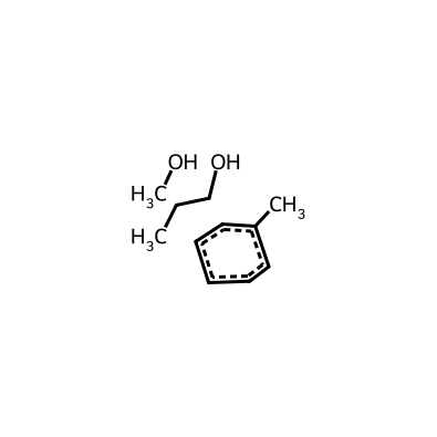 CCCO.CO.Cc1ccccc1